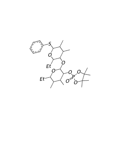 CCC1OC(OC2C(CC)OC(Sc3ccccc3)C(C)C2C)C(OP2(=O)OC(C)(C)C(C)(C)O2)C(C)C1C